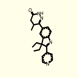 CCC1(CC)C(c2ccncc2)=Nc2ccc(C3=NNC(=O)CC3C)cc21